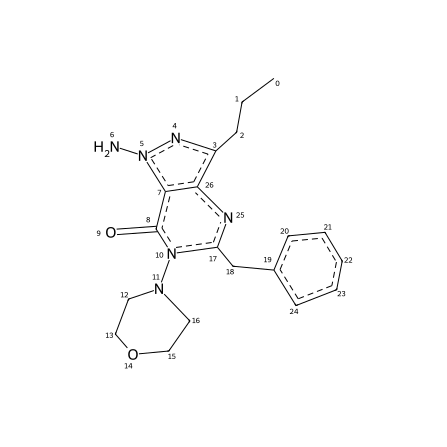 CCCc1nn(N)c2c(=O)n(N3CCOCC3)c(Cc3ccccc3)nc12